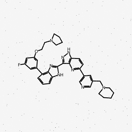 Fc1cc(OCCN2CCCC2)cc(-c2cccc3[nH]c(-c4n[nH]c5ccc(-c6cncc(CN7CCCCC7)c6)nc45)nc23)c1